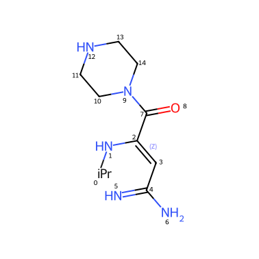 CC(C)N/C(=C\C(=N)N)C(=O)N1CCNCC1